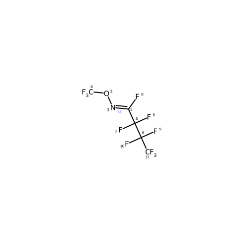 F/C(=N\OC(F)(F)F)C(F)(F)C(F)(F)C(F)(F)F